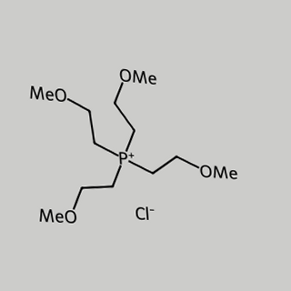 COCC[P+](CCOC)(CCOC)CCOC.[Cl-]